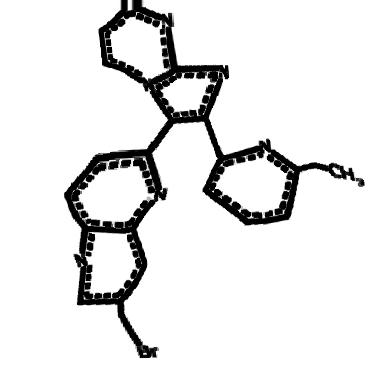 Cc1cccc(-c2nc3ncccn3c2-c2ccc3ncc(Br)cc3n2)n1